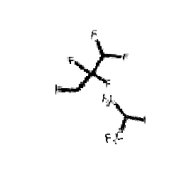 FC(F)(F)C(I)C(F)(F)F.FC(F)C(F)(F)CI